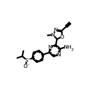 C#CC1=NN(C)C(c2nc(-c3ccc([S+]([O-])C(C)C)cc3)cnc2N)O1